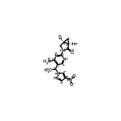 CC(c1cnc(N2C[C@H]3C[C@H]3C2=O)nc1N)n1cc([N+](=O)[O-])cn1